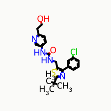 CC(C)(C)c1nc(-c2cccc(Cl)c2)c(CNC(=O)Nc2ccc(CCO)nc2)s1